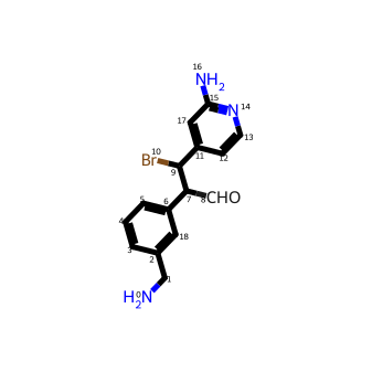 NCc1cccc(C(C=O)C(Br)c2ccnc(N)c2)c1